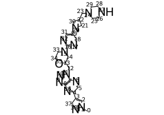 Cn1cc(-c2cnc3c(nnn3C[C@@H]3CN(c4ncc(N5CC(CN6CCNCC6)C5)cn4)CCO3)n2)cn1